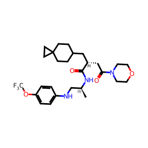 C[C@@H](CNc1ccc(OC(F)(F)F)cc1)NC(=O)[C@@H](CC(=O)N1CCOCC1)CC1CCC2(CC1)CC2